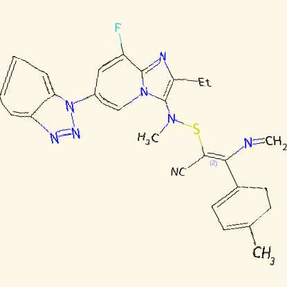 C=N/C(C1=CC=C(C)CC1)=C(/C#N)SN(C)c1c(CC)nc2c(F)cc(-n3nnc4ccccc43)cn12